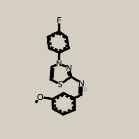 COc1cccc(/C=N\C2=NN(c3ccc(F)cc3)C=CS2)c1